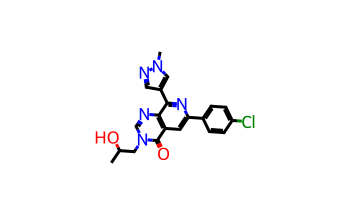 CC(O)Cn1cnc2c(-c3cnn(C)c3)nc(-c3ccc(Cl)cc3)cc2c1=O